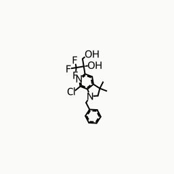 CC1(C)CN(Cc2ccccc2)c2c1cc([C@@](O)(CO)C(F)(F)F)nc2Cl